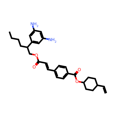 C=CC1CCC(OC(=O)c2ccc(/C=C/C(=O)OCC(CCCC)c3cc(N)cc(N)c3)cc2)CC1